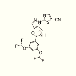 C[C@H](NC(=O)c1cc(OC(F)F)cc(OC(F)F)c1)c1ncnn1-c1ncc(C#N)s1